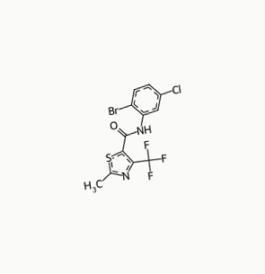 Cc1nc(C(F)(F)F)c(C(=O)Nc2cc(Cl)ccc2Br)s1